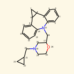 c1ccc2c(c1)C1CC1c1ccccc1N2CC1CN(CC2CC2)CCO1